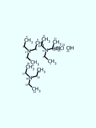 CCN(CC)CC.CCN(CC)CC.CCN(CC)CC.Cl.Cl.Cl